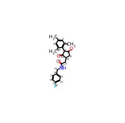 Cc1cc(C)c(C2C(=O)CC(CC(=O)NCc3ccc(F)cc3)C2=O)c(C)c1